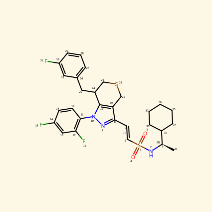 C[C@@H](NS(=O)(=O)/C=C/c1nn(-c2ccc(F)cc2F)c2c1CSCC2Cc1cccc(F)c1)C1CCCCC1